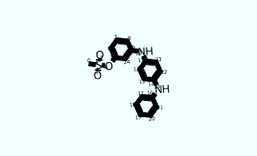 CS(=O)(=O)Oc1cccc(Nc2ccc(Nc3ccccc3)cc2)c1